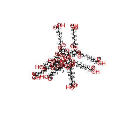 C[C@@H]1O[C@@H](OC[C@H]2O[C@@H](Oc3c(-c4ccc(OC(=O)CCCCCCCCC(=O)O)c(OC(=O)CCCCCCCCC(=O)O)c4)oc4cc(OC(=O)CCCCCCCCC(=O)O)cc(OC(=O)CCCCCCCCC(=O)O)c4c3=O)[C@H](OC(=O)CCCCCCCCC(=O)O)[C@@H](OC(=O)CCCCCCCCC(=O)O)[C@@H]2OC(=O)CCCCCCCCC(=O)O)[C@H](O)[C@H](O)[C@H]1OC(=O)CCCCCCCCC(=O)O